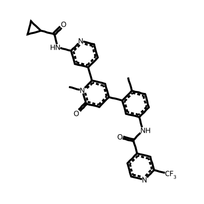 Cc1ccc(NC(=O)c2ccnc(C(F)(F)F)c2)cc1-c1cc(-c2ccnc(NC(=O)C3CC3)c2)n(C)c(=O)c1